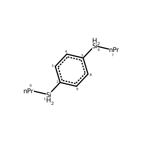 CCC[SiH2]c1ccc([SiH2]CCC)cc1